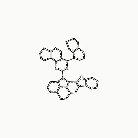 c1ccc2c(-c3nc(-n4c5cccc6ccc7cc8c9ccccc9oc8c4c7c65)nc4c3ccc3ccccc34)cccc2c1